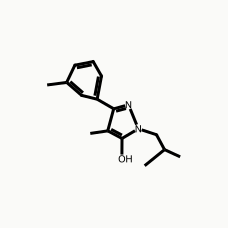 Cc1cccc(-c2nn(CC(C)C)c(O)c2C)c1